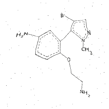 Cn1ncc(Br)c1-c1cc(N)ccc1OCCN